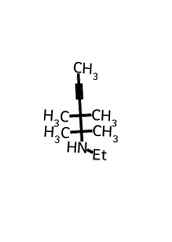 CC#CC(C)(C)C(C)(C)NCC